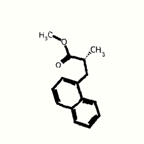 COC(=O)[C@H](C)Cc1cccc2ccccc12